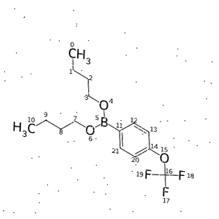 CCCCOB(OCCCC)c1ccc(OC(F)(F)F)cc1